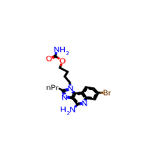 CCCc1nc2c(N)nc3cc(Br)ccc3c2n1CCCCOC(N)=O